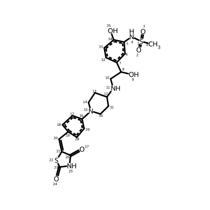 CS(=O)(=O)Nc1cc(C(O)CNC2CCN(c3ccc(/C=C4/SC(=O)NC4=O)cc3)CC2)ccc1O